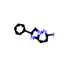 Ic1ccc2nc(-c3ccccc3)cn2n1